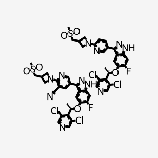 C[C@@H](Oc1cc2c(-c3ccc(N4CC(CS(C)(=O)=O)C4)nc3)n[nH]c2cc1F)c1c(Cl)cncc1Cl.C[C@@H](Oc1cc2c(-c3cnc(N4CC(CS(C)(=O)=O)C4)c(C#N)c3)n[nH]c2cc1F)c1c(Cl)cncc1Cl